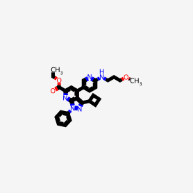 CCOC(=O)c1cc(-c2ccc(NCCCOC)nc2)c2c(C3CCC3)nn(-c3ccccc3)c2n1